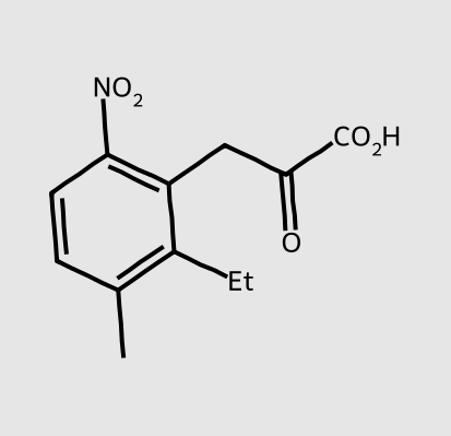 CCc1c(C)ccc([N+](=O)[O-])c1CC(=O)C(=O)O